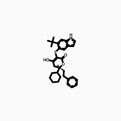 CC(C)(C)c1cc2[nH]ccc2cc1SC1=C(O)C[C@@](CCc2ccccc2)(C2CCCCC2)OC1=O